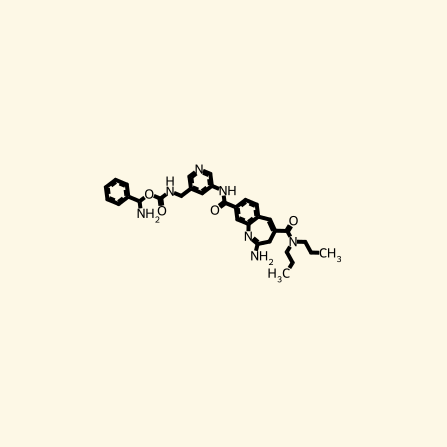 CCCN(CCC)C(=O)C1=Cc2ccc(C(=O)Nc3cncc(CNC(=O)OC(N)c4ccccc4)c3)cc2N=C(N)C1